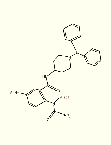 CCCCCCCN(C(N)=O)c1ccc(NC(C)=O)cc1C(=O)NC1CCN(C(c2ccccc2)c2ccccc2)CC1